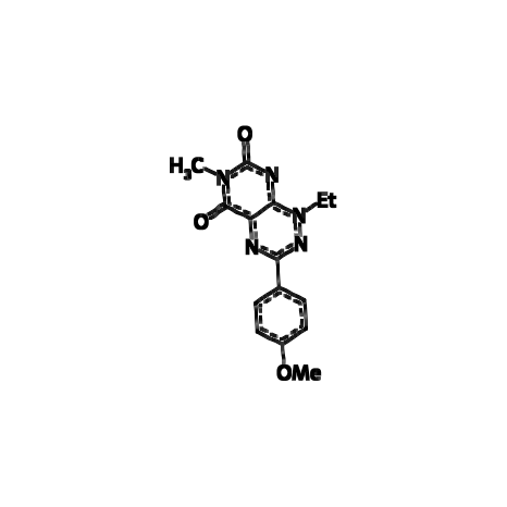 CCn1nc(-c2ccc(OC)cc2)nc2c(=O)n(C)c(=O)nc1-2